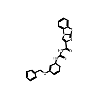 O=C(NC(=S)NC1C=C(OCc2ccccc2)C=CC1)c1cn2c(n1)sc1ccccc12